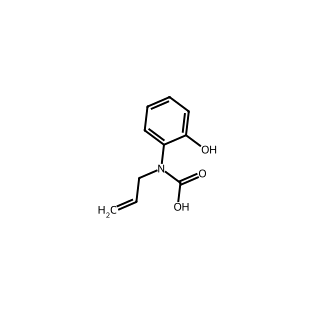 C=CCN(C(=O)O)c1ccccc1O